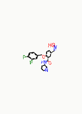 O=C(Nc1cccnc1)c1cc(/C=N\O)ccc1OCc1ccc(F)c(F)c1